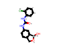 O=C(Nc1ccc2c(c1)B(O)OC2)Nc1ccccc1Cl